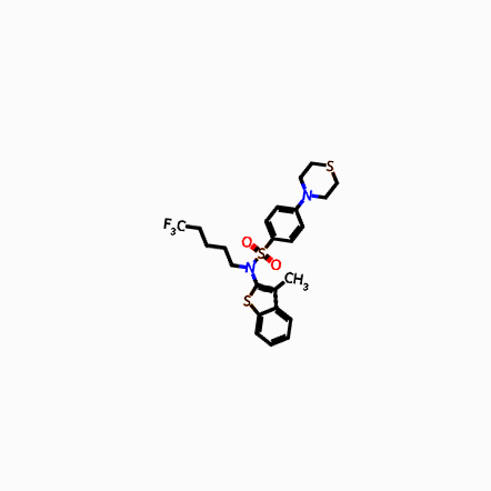 Cc1c(N(CCCCC(F)(F)F)S(=O)(=O)c2ccc(N3CCSCC3)cc2)sc2ccccc12